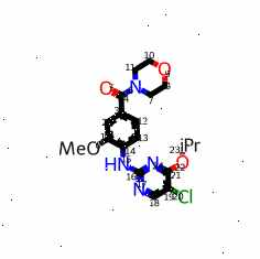 COc1cc(C(=O)N2CCOCC2)ccc1Nc1ncc(Cl)c(OC(C)C)n1